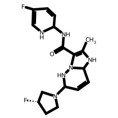 CC1=C(C(=O)NC2C=CC(F)=CN2)N2NC(N3CC[C@H](F)C3)C=CC2N1